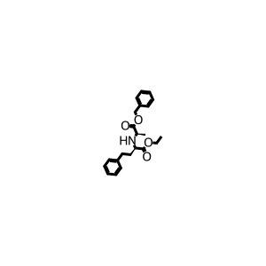 CCOC(=O)[C@@H](CCc1ccccc1)N[C@H](C)C(=O)OCc1ccccc1